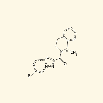 C[C@H]1c2ccccc2CCN1C(=O)c1cc2ccc(Br)cn2n1